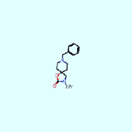 CCCN1CC2(CCN(Cc3ccccc3)CC2)OC1=O